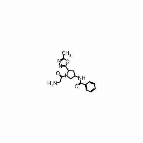 Cc1nnc(C2CC(NC(=O)c3ccccc3)CN2C(=O)CN)o1